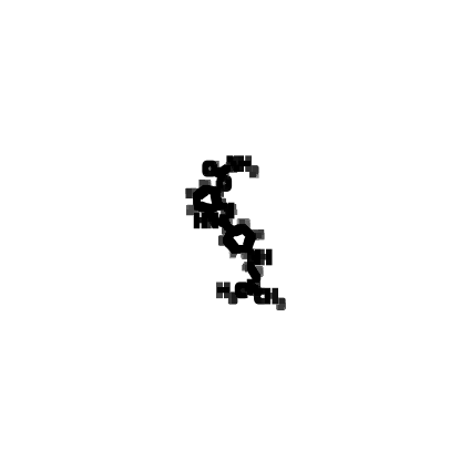 CN(C)CCNc1ccc(-c2nc3c(OC(N)=O)cccc3[nH]2)cc1